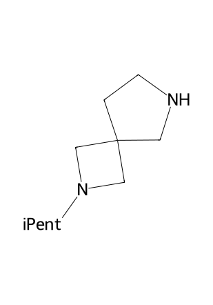 CCCC(C)N1CC2(CCNC2)C1